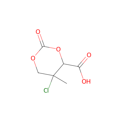 CC1(Cl)COC(=O)OC1C(=O)O